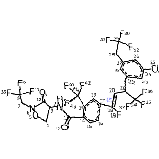 O=C(NC1CON(CC(F)(F)F)C1=O)c1ccc(/C(F)=C/C(c2cc(Cl)cc(CC(F)(F)F)c2)C(F)(F)F)cc1C(F)(F)F